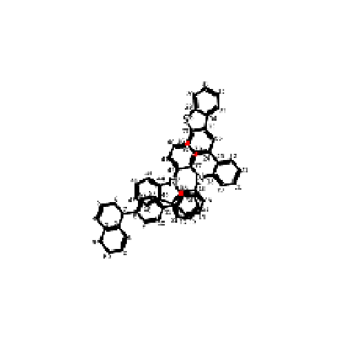 C1=CC2=C(C=CCC2c2ccc(-c3cccc(N(c4ccccc4-c4ccc5sc6ccccc6c5c4)c4ccccc4-n4c5ccccc5c5ccccc54)c3)cc2)CC1